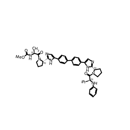 COC(=O)N[C@@H](C)C(=O)N1CCC[C@H]1c1ncc(-c2ccc(-c3ccc(-c4cnc([C@@H]5CCCN5C(=O)[C@@H](Nc5ccccc5)C(C)C)[nH]4)cc3)cc2)[nH]1